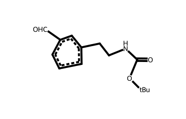 CC(C)(C)OC(=O)NCCc1cccc(C=O)c1